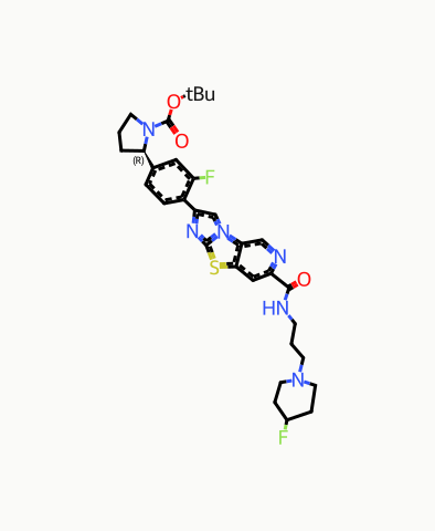 CC(C)(C)OC(=O)N1CCC[C@@H]1c1ccc(-c2cn3c(n2)sc2cc(C(=O)NCCCN4CCC(F)CC4)ncc23)c(F)c1